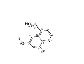 COc1cc(F)c2nccc(N)c2c1.Cl